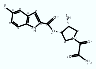 NC(=O)C(=O)N1C[C@@H](O)[C@@H](OC(=O)c2cc3cc(Cl)ccc3[nH]2)C1